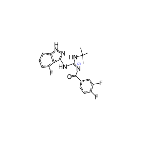 CC(C)(C)N/C(=N/C(=O)c1ccc(F)c(F)c1)Nc1n[nH]c2cccc(F)c12